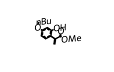 C=C(C(=O)OC)c1ccc(OCCCC)cc1O